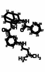 CN(C)CCNc1cccc(C(=O)NC23CC4CC(CC(NC(=O)c5ccccn5)(C4)C2)C3)n1